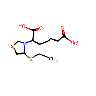 CCSC1CSCN1C(CCCC(=O)O)C(=O)O